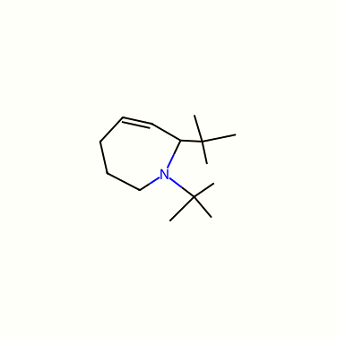 CC(C)(C)C1C=CCCCN1C(C)(C)C